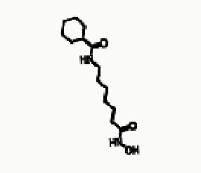 O=C(CCCCCCNC(=O)C1CCCCC1)NO